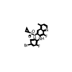 Cc1ccnc2c(F)c(Nc3ccc(Br)cc3F)c(NS(=O)(=O)C3CC3)cc12